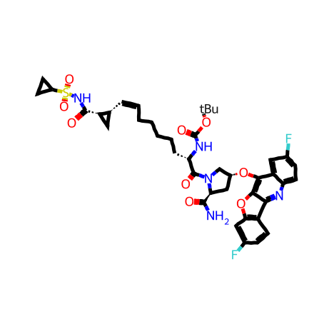 CC(C)(C)OC(=O)N[C@@H](CCCCC/C=C\[C@@H]1C[C@@H]1C(=O)NS(=O)(=O)C1CC1)C(=O)N1C[C@H](Oc2c3cc(F)ccc3nc3c2oc2cc(F)ccc23)C[C@H]1C(N)=O